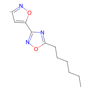 CCCCCCc1nc(-c2c[c]no2)no1